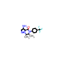 C[C@H]1[C@H](C)n2ncc(N)c2C(=O)N1c1ccc(C(F)(F)F)cc1